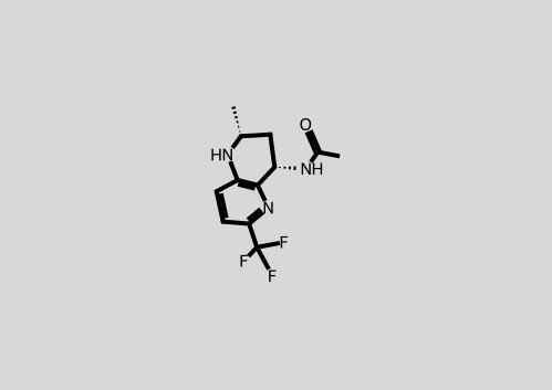 CC(=O)N[C@H]1C[C@@H](C)Nc2ccc(C(F)(F)F)nc21